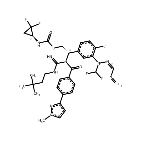 C=N/C=N\N(c1cc([C@@H](COC(=O)N[C@H]2CC2(F)F)N(C(=N)NCCC(C)(C)C)C(=O)c2ccc(-c3ccn(C)n3)cc2)ccc1Cl)C(F)F